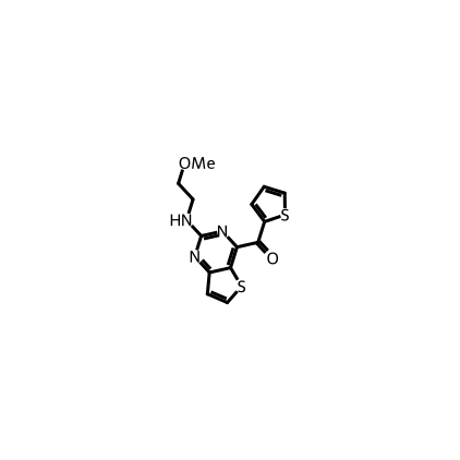 COCCNc1nc(C(=O)c2cccs2)c2sccc2n1